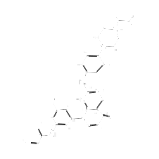 C=CC(=O)Nc1cc(F)cc(-n2ccc(=O)c3cnc(Nc4ccc(N5CCN(CCO)CC5)cc4)nc32)c1